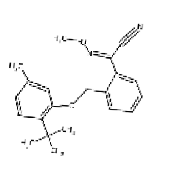 CON=C(C#N)c1ccccc1COc1cc(C)ccc1C(C)(C)C